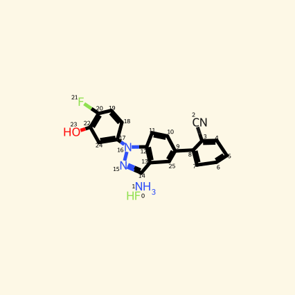 F.N.N#Cc1ccccc1-c1ccc2c(cnn2-c2ccc(F)c(O)c2)c1